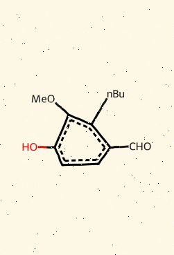 CCCCc1c(C=O)ccc(O)c1OC